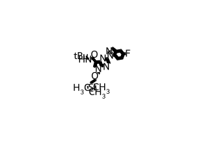 CC(C)(C)NC(=O)c1cn(COCC[Si](C)(C)C)c2ncc(-n3ncc4cc(F)ccc43)nc12